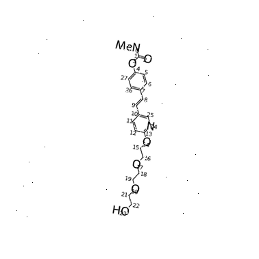 CNC(=O)Oc1ccc(C=Cc2ccc(OCCOCCOCCO)nc2)cc1